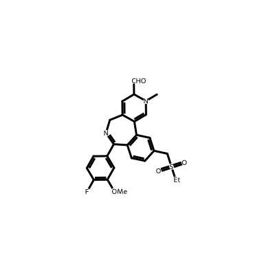 CCS(=O)(=O)Cc1ccc2c(c1)C1=CN(C)C(C=O)C=C1CN=C2c1ccc(F)c(OC)c1